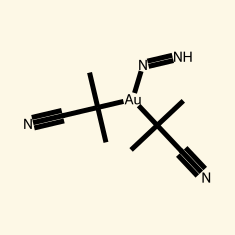 C[C](C)(C#N)[Au]([N]=N)[C](C)(C)C#N